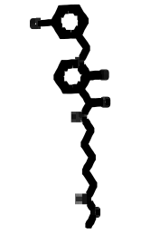 CONCCCCCNC(=O)c1cccn(Cc2cccc(Cl)c2)c1=O